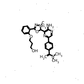 C=C(c1ccc(-c2cnc(N)c(C3OC(c4ccccc4OCCCO)=NN3C)n2)cc1)N(C)C